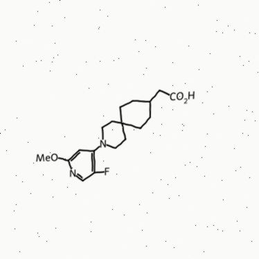 COc1cc(N2CCC3(CCC(CC(=O)O)CC3)CC2)c(F)cn1